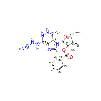 CC[C@H]1O[C@@H](n2cnc3c(NN=[N+]=[N-])nnc(C)c32)[C@](C)(OC(=O)c2ccccc2)[C@@H]1C